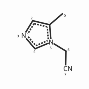 Cc1cncn1CC#N